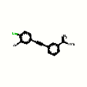 C=C(NC)c1cccc(C#Cc2ccc(Cl)c(C(C)=O)c2)c1